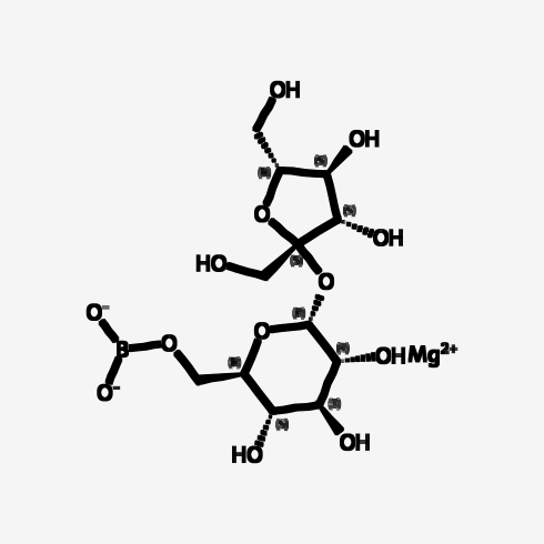 [Mg+2].[O-]B([O-])OC[C@H]1O[C@H](O[C@]2(CO)O[C@H](CO)[C@@H](O)[C@@H]2O)[C@H](O)[C@@H](O)[C@@H]1O